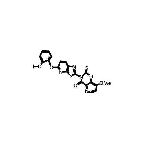 COc1ccnc2c(=O)n(-c3nc4ccc(Oc5ccccc5OI)nc4s3)c(=S)oc12